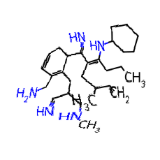 C=CC(C)C/C(C(=N)C1CC=CC(CN)=C1CC(C=N)CNC)=C(\CCC)NC1CCCCC1